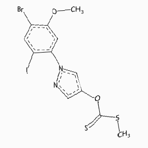 COc1cc(-n2cc(OC(=S)SC)cn2)c(I)cc1Br